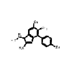 C[SiH2]C1C(C)=Cc2c1cc(C(C)(C)C)c(C)c2-c1ccc(C(C)(C)C)cc1